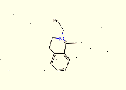 CC1=[N+](CC(C)C)CCc2ccccc21